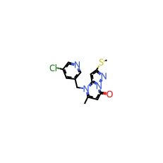 CSc1cc2n(Cc3cncc(Cl)c3)c(C)cc(=O)n2n1